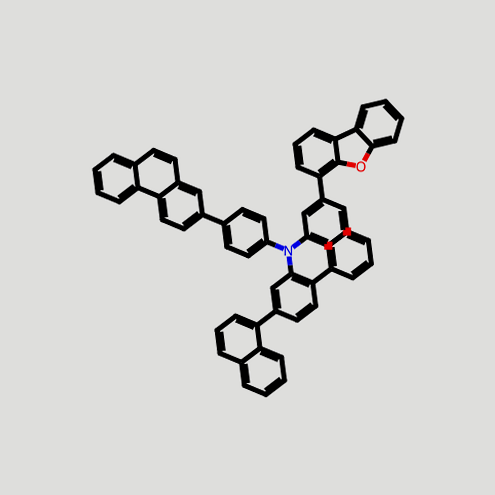 c1ccc(-c2ccc(-c3cccc4ccccc34)cc2N(c2ccc(-c3ccc4c(ccc5ccccc54)c3)cc2)c2cccc(-c3cccc4c3oc3ccccc34)c2)cc1